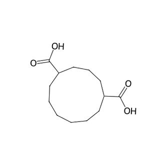 O=C(O)C1CCCCCCC(C(=O)O)CCC1